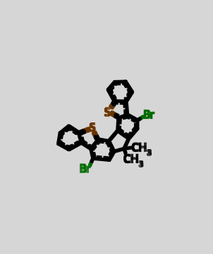 CC1(C)c2cc(Br)c3c(sc4ccccc43)c2-c2c1cc(Br)c1c2sc2ccccc21